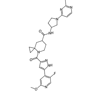 COc1cc(-c2cc(C(=O)N3CCC(C(=O)NC4CCN(c5ccnc(C)n5)C4)CC34CC4)n[nH]2)c(F)cn1